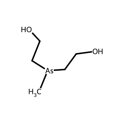 C[As](CCO)CCO